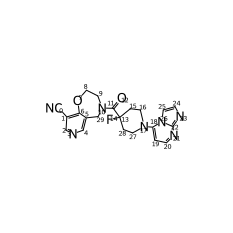 N#Cc1cncc2c1OCCN(C(=O)C1(F)CCN(c3ccnc4nccn34)CC1)C2